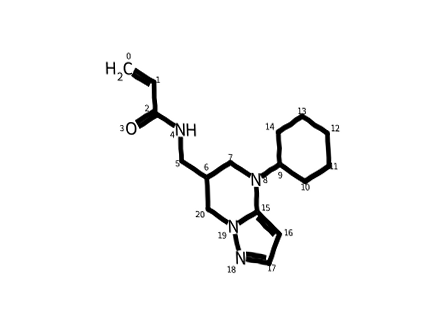 C=CC(=O)NCC1CN(C2CCCCC2)c2ccnn2C1